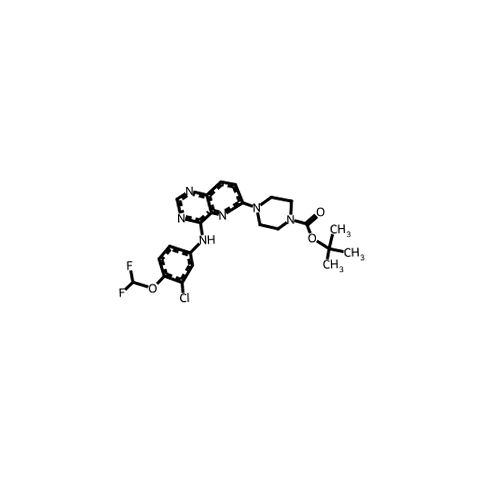 CC(C)(C)OC(=O)N1CCN(c2ccc3ncnc(Nc4ccc(OC(F)F)c(Cl)c4)c3n2)CC1